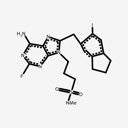 CNS(=O)(=O)CCCn1c(Cc2cc3c(cc2I)CCC3)nc2c(N)nc(F)nc21